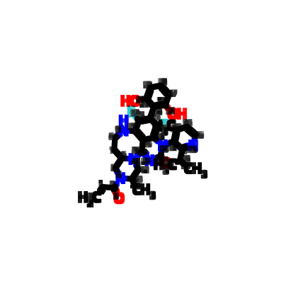 C=CC(=O)N1CC2CCNc3c(F)c(-c4c(O)cccc4O)c(F)c4c3c(nc(=O)n4-c3c(C)ccnc3C(C)C)N2CC1C